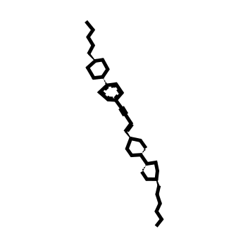 CCCCCC[C@H]1CC[C@H]([C@H]2CC[C@H](C=CC#Cc3ccc([C@H]4CC[C@H](CCCCC)CC4)cc3)CC2)CC1